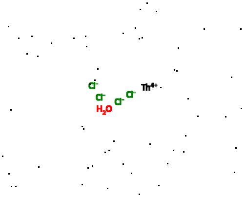 O.[Cl-].[Cl-].[Cl-].[Cl-].[Th+4]